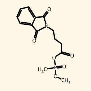 COP(C)(=O)OC(=O)CCCN1C(=O)c2ccccc2C1=O